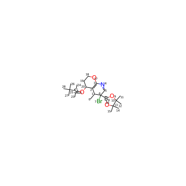 CC1C2=C(N=CC1(Br)B1OC(C)(C)C(C)(C)O1)OCCC2O[Si](C)(C)C(C)(C)C